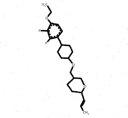 C/C=C/C1CCC(COC2CCC(c3ccc(OCC)c(F)c3F)CC2)CO1